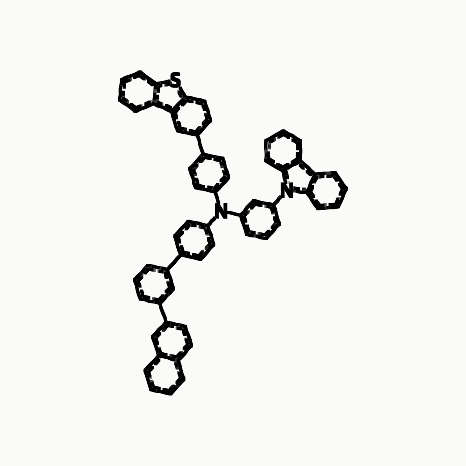 c1cc(-c2ccc(N(c3ccc(-c4ccc5sc6ccccc6c5c4)cc3)c3cccc(-n4c5ccccc5c5ccccc54)c3)cc2)cc(-c2ccc3ccccc3c2)c1